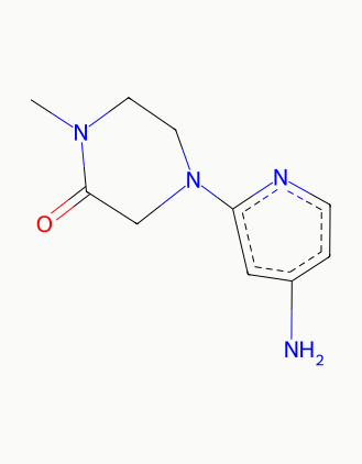 CN1CCN(c2cc(N)ccn2)CC1=O